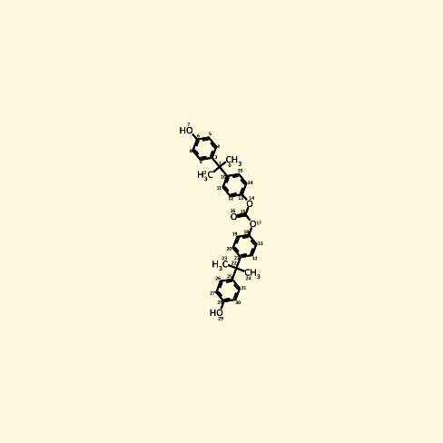 CC(C)(c1ccc(O)cc1)c1ccc(OC(=O)Oc2ccc(C(C)(C)c3ccc(O)cc3)cc2)cc1